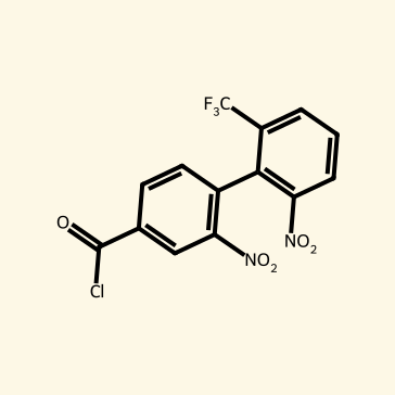 O=C(Cl)c1ccc(-c2c([N+](=O)[O-])cccc2C(F)(F)F)c([N+](=O)[O-])c1